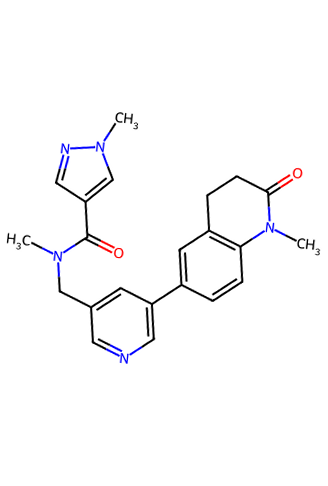 CN(Cc1cncc(-c2ccc3c(c2)CCC(=O)N3C)c1)C(=O)c1cnn(C)c1